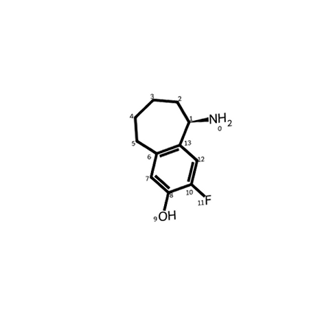 N[C@@H]1CCCCc2cc(O)c(F)cc21